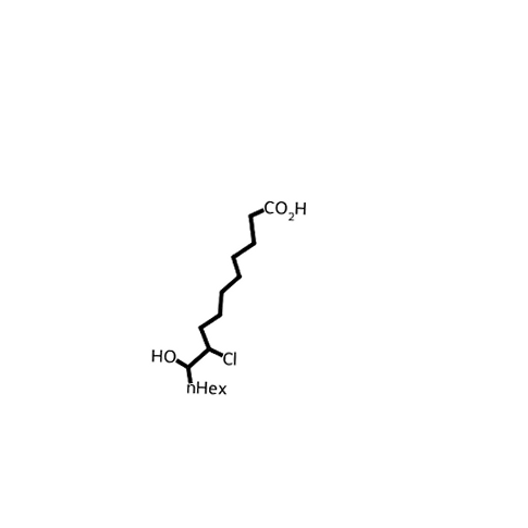 CCCCCCC(O)C(Cl)CCCCCCCC(=O)O